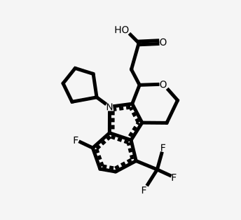 O=C(O)CC1OCCc2c1n(C1CCCC1)c1c(F)ccc(C(F)(F)F)c21